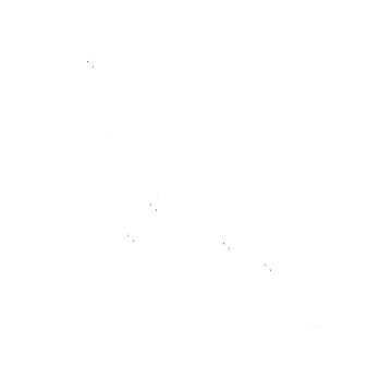 N#Cc1ccc(-c2ccc3ccnc(Nc4ccc(N5CCN(CCCO)CC5)cc4)c3c2)cc1